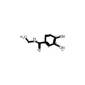 CCNC(=O)c1ccc(O)c(O)c1